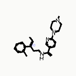 C=C(NCC/C(=C/C)c1ccccc1C)c1ccc(N2CCN(C)CC2)nc1